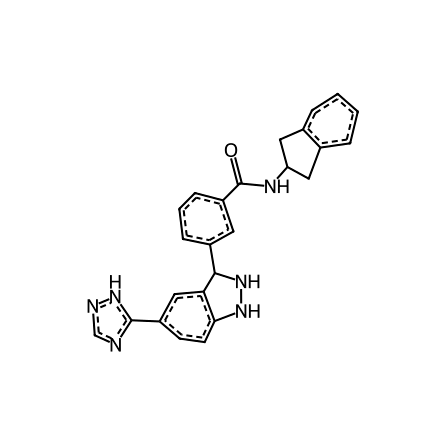 O=C(NC1Cc2ccccc2C1)c1cccc(C2NNc3ccc(-c4ncn[nH]4)cc32)c1